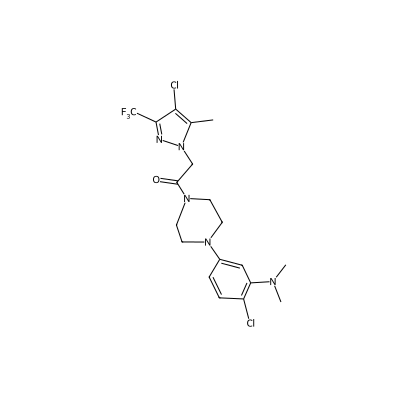 Cc1c(Cl)c(C(F)(F)F)nn1CC(=O)N1CCN(c2ccc(Cl)c(N(C)C)c2)CC1